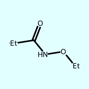 C[CH]C(=O)NOCC